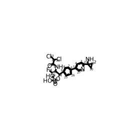 NC1(c2ccc(-c3ccc([C@@H](OP(=O)(O)O)[C@@H](CF)NC(=O)C(Cl)Cl)cc3)cn2)CC1